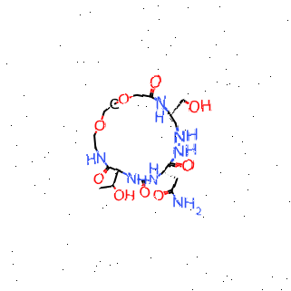 CC(O)C1NC(=O)N[C@@H](CC(N)=O)C(=O)NNC[C@H](CO)NC(=O)COCCOCCNC1=O